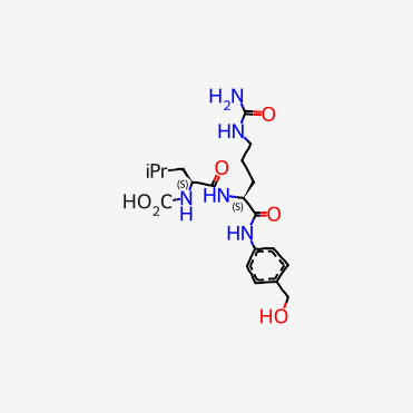 CC(C)C[C@H](NC(=O)O)C(=O)N[C@@H](CCCNC(N)=O)C(=O)Nc1ccc(CO)cc1